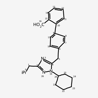 CC(C)Cc1nc(Cc2ccc(-c3ccccc3C(=O)O)cc2)n(C2CCCCC2)n1